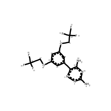 Nc1nnc(-c2cc(OCC(F)(F)F)cc(OCC(F)(F)F)c2)c(N)n1